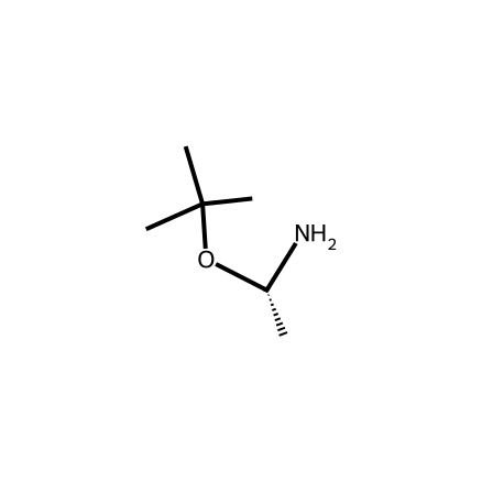 C[C@@H](N)OC(C)(C)C